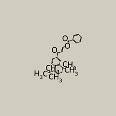 CC(C)(C)C1=CCC(C)(C)c2cc(C(=O)C=COC(=O)c3ccccc3)ccc21